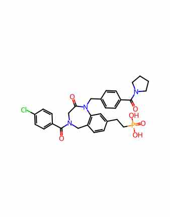 O=C(c1ccc(CN2C(=O)CN(C(=O)c3ccc(Cl)cc3)Cc3ccc(CCP(=O)(O)O)cc32)cc1)N1CCCC1